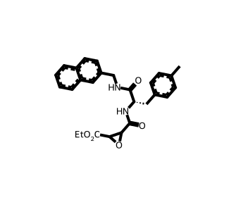 CCOC(=O)C1OC1C(=O)N[C@@H](Cc1ccc(C)cc1)C(=O)NCc1ccc2ccccc2c1